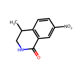 CC1CNC(=O)c2cc([N+](=O)[O-])ccc21